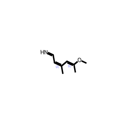 CO/C(C)=C/C(C)=C\C=N